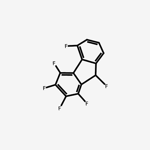 Fc1cccc2c1-c1c(F)c(F)c(F)c(F)c1C2F